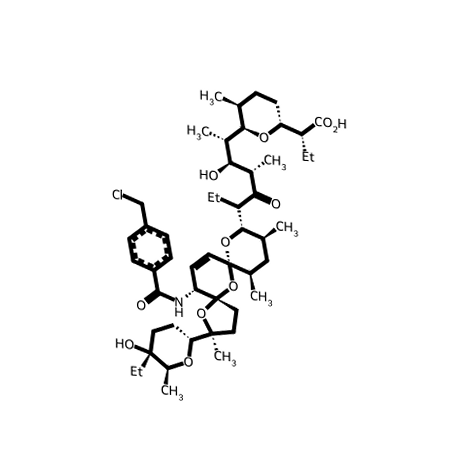 CCC(C(=O)[C@@H](C)[C@@H](O)[C@H](C)[C@@H]1O[C@@H]([C@@H](CC)C(=O)O)CC[C@@H]1C)[C@H]1O[C@]2(C=C[C@@H](NC(=O)c3ccc(CCl)cc3)[C@]3(CC[C@@](C)([C@H]4CC[C@](O)(CC)[C@H](C)O4)O3)O2)[C@H](C)C[C@@H]1C